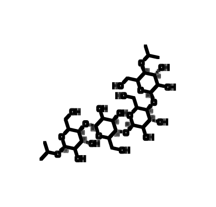 CC(C)O[C@H]1OC(CO)[C@@H](O[C@H]2OC(CO)[C@@H](O[C@H]3OC(CO)[C@@H](O[C@H]4OC(CO)[C@@H](OC(C)C)[C@H](O)C4O)[C@H](O)C3O)[C@H](O)C2O)[C@H](O)C1O